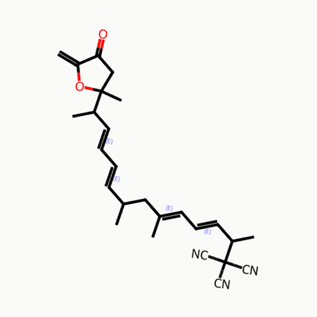 C=C1OC(C)(C(C)/C=C/C=C/C(C)C/C(C)=C/C=C/C(C)C(C#N)(C#N)C#N)CC1=O